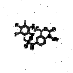 CCCN1C(=O)OC(C(F)(F)F)c2cc(NS(=O)(=O)Cc3c(F)c(F)c(C)c(F)c3F)ccc21